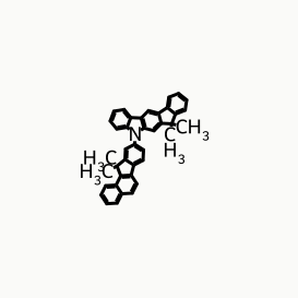 CC1(C)c2ccccc2-c2cc3c4ccccc4n(-c4ccc5c(c4)C(C)(C)c4c-5ccc5ccccc45)c3cc21